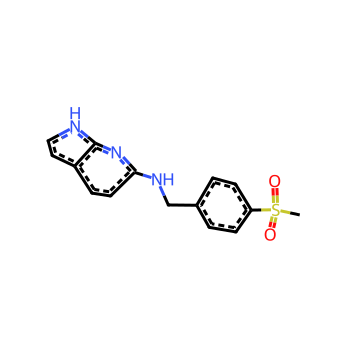 CS(=O)(=O)c1ccc(CNc2ccc3cc[nH]c3n2)cc1